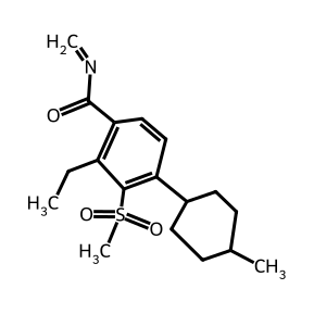 C=NC(=O)c1ccc(C2CCC(C)CC2)c(S(C)(=O)=O)c1CC